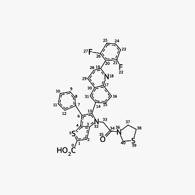 O=C(O)c1cc2c(s1)c(-c1ccccc1)c(-c1ccc3nc(-c4c(F)cccc4F)ccc3c1)n2CC(=O)N1CCSC1